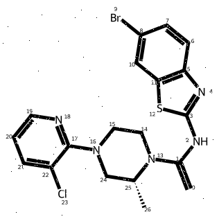 C=C(Nc1nc2ccc(Br)cc2s1)N1CCN(c2ncccc2Cl)C[C@H]1C